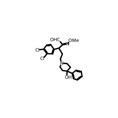 CON=C(C=O)C(CCN1CCC(O)(c2ccccc2)CC1)c1ccc(Cl)c(Cl)c1